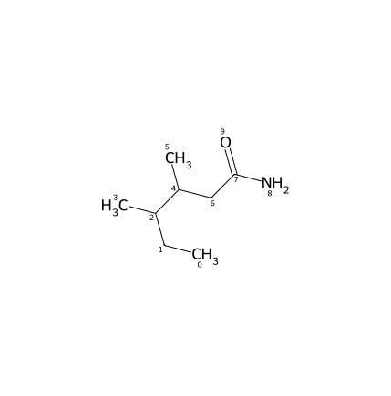 CCC(C)C(C)CC(N)=O